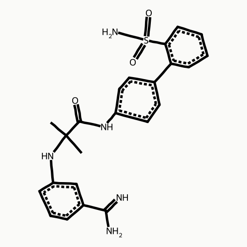 CC(C)(Nc1cccc(C(=N)N)c1)C(=O)Nc1ccc(-c2ccccc2S(N)(=O)=O)cc1